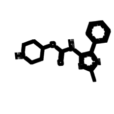 Cc1nc(-c2ccccc2)c(NC(=O)OC2CCNCC2)s1